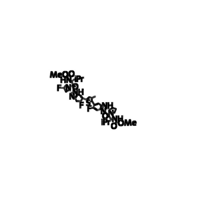 COC(=O)N[C@H](C(=O)N1CCC[C@H]1c1nc2cc(F)c(-c3sc(-c4cc5[nH]c([C@@H]6CC(F)CN6C(=O)[C@@H](NC(=O)OC)C(C)C)nc5cc4F)cc3C)cc2[nH]1)C(C)C